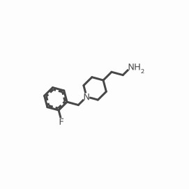 NCCC1CCN(Cc2ccccc2F)CC1